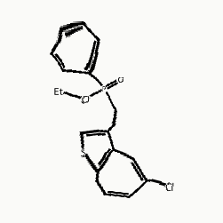 CCOP(=O)(Cc1csc2ccc(Cl)cc12)c1ccccc1